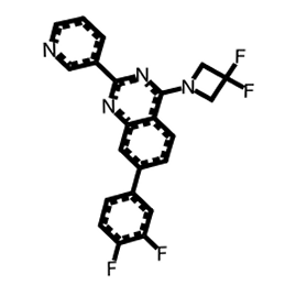 Fc1ccc(-c2ccc3c(N4CC(F)(F)C4)nc(-c4cccnc4)nc3c2)cc1F